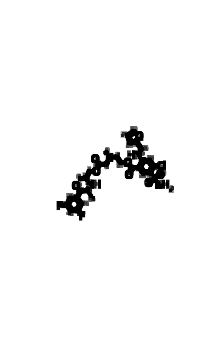 CC(COC(=O)CN(C)CCOC(=O)c1cc(S(N)(=O)=O)c(Cl)cc1NCc1ccco1)N[C@@H](C)C(=O)c1cc(F)cc(F)c1